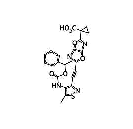 Cc1snc(C#Cc2nc3oc(C4(C(=O)O)CC4)nc3o2)c1NC(=O)OC(C)c1ccccc1